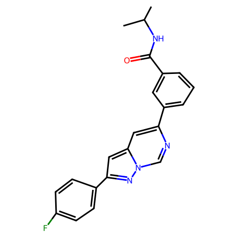 CC(C)NC(=O)c1cccc(-c2cc3cc(-c4ccc(F)cc4)nn3cn2)c1